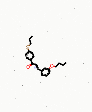 CCCCOc1cccc(/C=C/C(=O)c2ccc(SCCC)cc2)c1